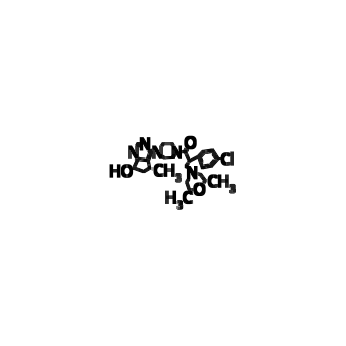 C[C@@H]1CN(C[C@@H](C(=O)N2CCN(c3ncnc4c3[C@H](C)C[C@H]4O)CC2)c2ccc(Cl)cc2)C[C@H](C)O1